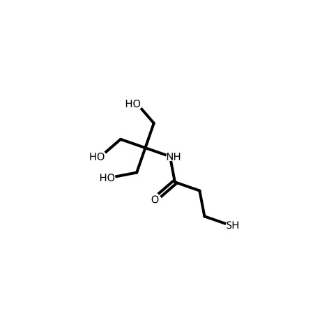 O=C(CCS)NC(CO)(CO)CO